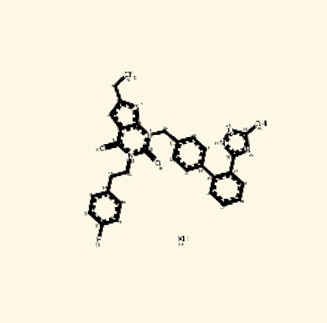 O=c1c2cc(CC(F)(F)F)sc2n(Cc2ccc(-c3ccccc3-c3noc(O)n3)cc2)c(=O)n1CCc1ccc(F)cc1.[KH]